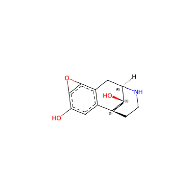 Oc1cc2c(c3c1O3)C[C@H]1NCC[C@@]23CCCC[C@@]13O